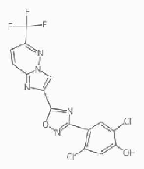 Oc1cc(Cl)c(-c2noc(-c3cn4nc(C(F)(F)F)ccc4n3)n2)cc1Cl